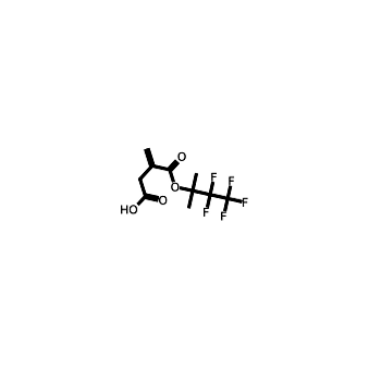 C=C(CC(=O)O)C(=O)OC(C)(C)C(F)(F)C(F)(F)F